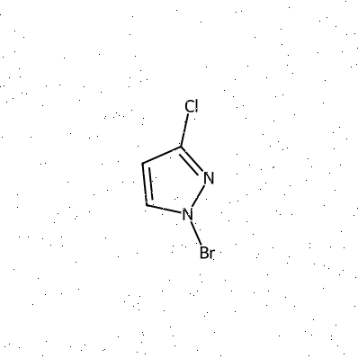 Clc1ccn(Br)n1